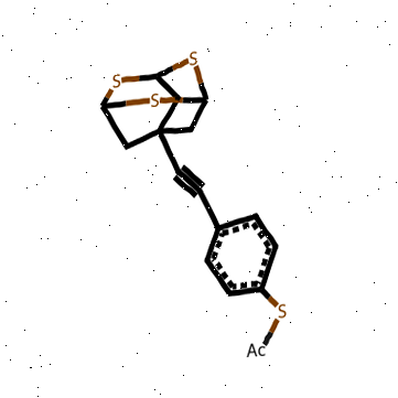 CC(=O)Sc1ccc(C#CC23CC4SC(C2)SC(C3)S4)cc1